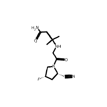 CC(C)(CC(N)=O)NCC(=O)N1C[C@@H](F)C[C@H]1C#N